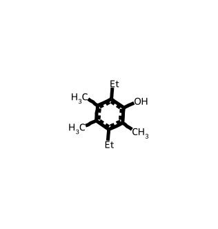 CCc1c(C)c(C)c(CC)c(O)c1C